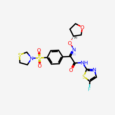 O=C(Nc1ncc(F)s1)/C(=N/O[C@@H]1CCOC1)c1ccc(S(=O)(=O)N2CCSC2)cc1